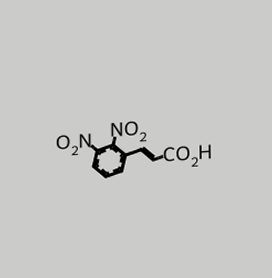 O=C(O)/C=C/c1cccc([N+](=O)[O-])c1[N+](=O)[O-]